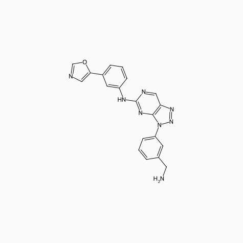 NCc1cccc(-n2nnc3cnc(Nc4cccc(-c5cnco5)c4)nc32)c1